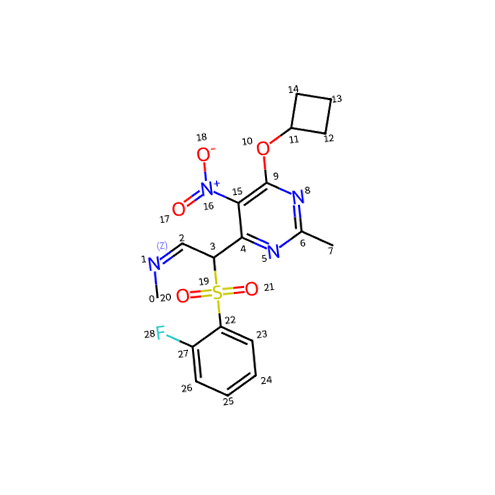 C/N=C\C(c1nc(C)nc(OC2CCC2)c1[N+](=O)[O-])S(=O)(=O)c1ccccc1F